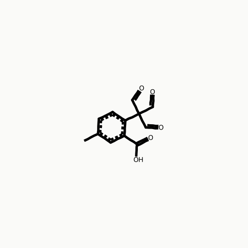 Cc1ccc(C(C=O)(C=O)C=O)c(C(=O)O)c1